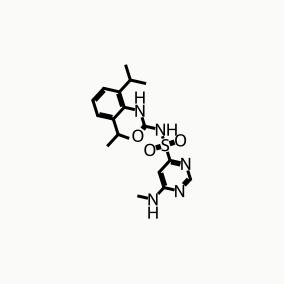 CNc1cc(S(=O)(=O)NC(=O)Nc2c(C(C)C)cccc2C(C)C)ncn1